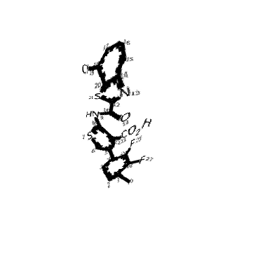 Cc1ccc(-c2csc(NC(=O)c3nc4cccc(Cl)c4s3)c2C(=O)O)c(F)c1F